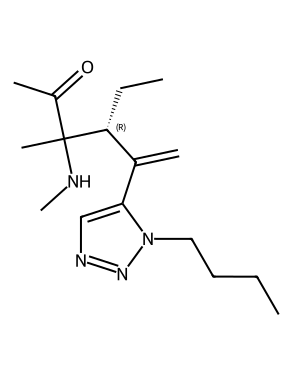 C=C(c1cnnn1CCCC)[C@@H](CC)C(C)(NC)C(C)=O